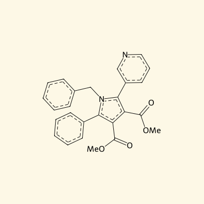 COC(=O)c1c(C(=O)OC)c(-c2cccnc2)n(Cc2ccccc2)c1-c1ccccc1